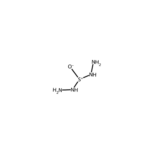 NN[S+]([O-])NN